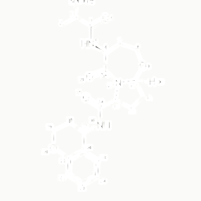 CN[C@@H](C)C(=O)N[C@H]1CCO[C@H]2CC[C@H](C(=O)N[C@H]3CCOc4ccccc43)N2C1=O